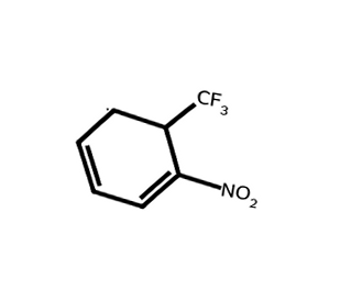 O=[N+]([O-])C1=CC=C[CH]C1C(F)(F)F